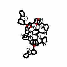 N#Cc1c(-n2c3ccccc3c3ncccc32)c(-n2c3ccccc3c3cc(-c4cccc5c4oc4ccccc45)ccc32)c(-n2c3ccccc3c3ncccc32)c(-n2c3ccccc3c3cc(-c4cccc5c4oc4ccccc45)ccc32)c1-n1c2ccccc2c2ncccc21